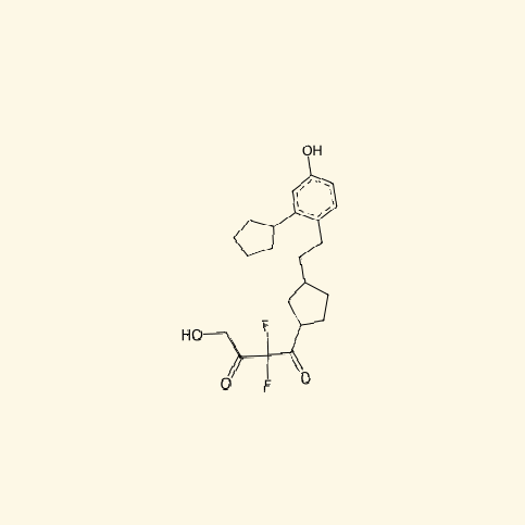 O=C(CO)C(F)(F)C(=O)C1CCC(CCc2ccc(O)cc2C2CCCC2)C1